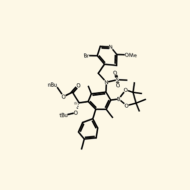 CCCCOC(=O)[C@@H](OC(C)(C)C)c1c(C)c(N(Cc2cc(OC)ncc2Br)S(C)(=O)=O)c(B2OC(C)(C)C(C)(C)O2)c(C)c1-c1ccc(C)cc1